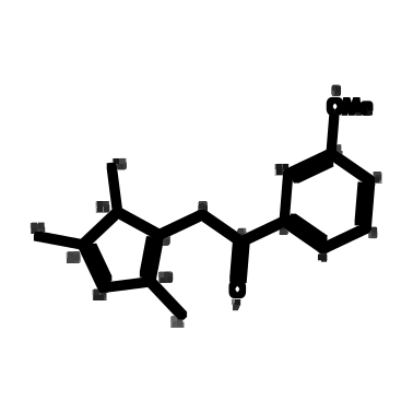 COc1cccc(C(=O)CC2=C(C)C=C(C)C2C)c1